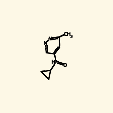 Cc1cc([PH](=O)C2CC2)cnn1